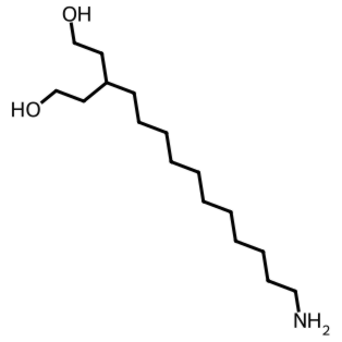 NCCCCCCCCCCCC(CCO)CCO